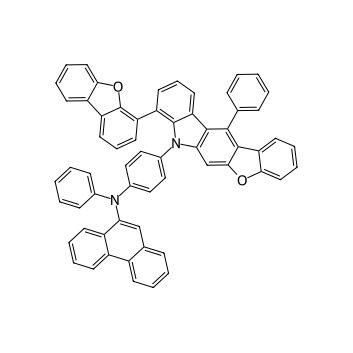 c1ccc(-c2c3c(cc4c2c2cccc(-c5cccc6c5oc5ccccc56)c2n4-c2ccc(N(c4ccccc4)c4cc5ccccc5c5ccccc45)cc2)oc2ccccc23)cc1